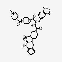 CN1CCN(C(=O)N2CCN(C(=O)[C@@H](Cc3ccc(N)c(Br)c3)NC(=O)N3CCC(N4Cc5ccccc5NC4=O)C(Br)C3)CC2)CC1